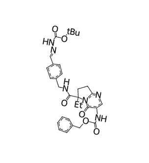 CCC1(C(=O)NCc2ccc(C=NNC(=O)OC(C)(C)C)cc2)CCc2ncc(NC(=O)OCc3ccccc3)c(=O)n21